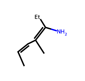 C/C=C\C(C)=C(\N)CC